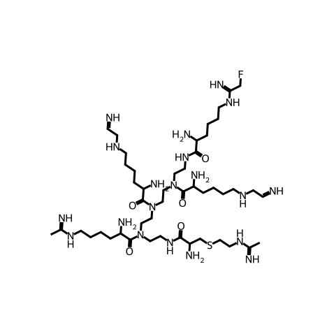 CC(=N)NCCCCC(N)C(=O)N(CCNC(=O)C(N)CSCCNC(C)=N)CCN(CCN(CCNC(=O)C(N)CCCCNC(=N)CF)C(=O)C(N)CCCCNCC=N)C(=O)C(N)CCCCNCC=N